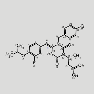 CC(C)Oc1ccc(/N=c2\[nH]c(=O)n([C@H](C)CC(=O)O)c(=O)n2Cc2ccc(Cl)cc2)cc1F